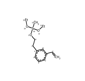 C=Cc1cccc(CCO[Si](C)(OCC)OCC)c1